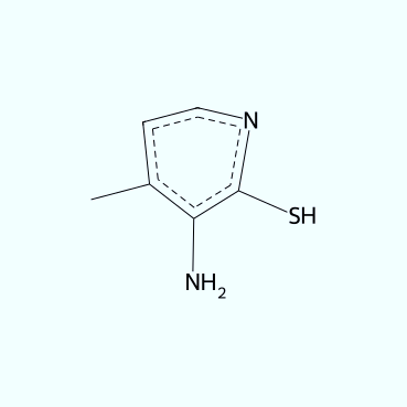 Cc1ccnc(S)c1N